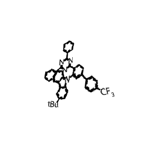 CC(C)(C)c1ccc2c(c1)c1ccccc1n2-c1cc(-c2ccc(C(F)(F)F)cc2)ccc1-c1nc(-c2ccccc2)nc(-c2ccccc2)n1